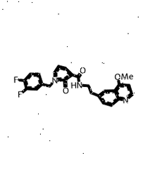 COc1ccnc2ccc(CCNC(=O)c3cccn(Cc4ccc(F)c(F)c4)c3=O)cc12